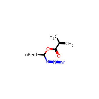 C=C(C)C(=O)OC(CCCCC)N=[N+]=[N-]